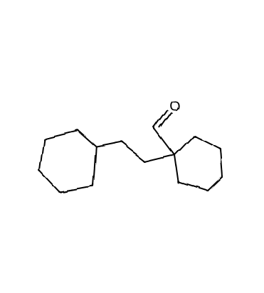 O=CC1(CCC2CCCCC2)CCCCC1